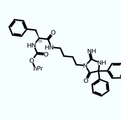 CCCOC(=O)N[C@@H](Cc1ccccc1)C(=O)NCCCCN1C(=N)NC(c2ccccc2)(c2ccccc2)C1=O